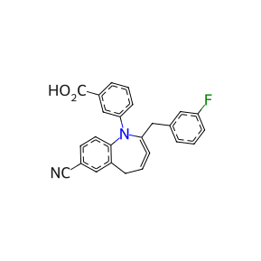 N#Cc1ccc2c(c1)CC=C=C(Cc1cccc(F)c1)N2c1cccc(C(=O)O)c1